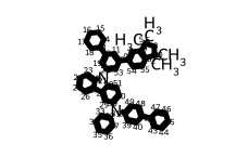 CC1(C)CC(C)(C)c2cc(-c3cc(C4CCCCC4)cc(-n4c5ccccc5c5cc(N(c6ccccc6)c6ccc(-c7ccccc7)cc6)ccc54)c3)ccc21